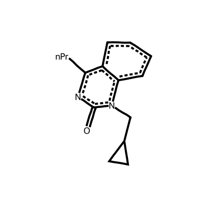 CCCc1nc(=O)n(CC2CC2)c2ccccc12